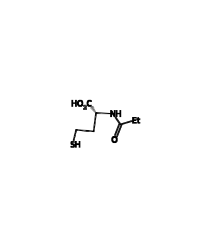 CCC(=O)N[C@H](CCS)C(=O)O